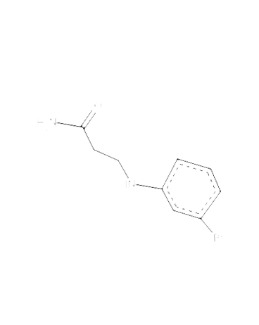 NC(=O)CCNc1cccc(Br)c1